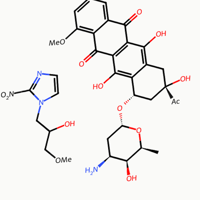 COCC(O)Cn1ccnc1[N+](=O)[O-].COc1cccc2c1C(=O)c1c(O)c3c(c(O)c1C2=O)C[C@@](O)(C(C)=O)C[C@@H]3O[C@H]1C[C@H](N)[C@H](O)[C@H](C)O1